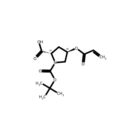 C=CC(=O)O[C@@H]1C[C@@H](C(=O)O)N(C(=O)OC(C)(C)C)C1